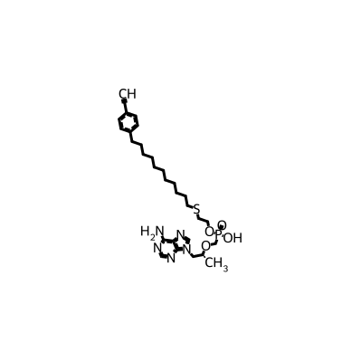 C#Cc1ccc(CCCCCCCCCCCSCCOP(=O)(O)CO[C@H](C)Cn2cnc3c(N)ncnc32)cc1